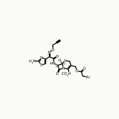 C#CCO/N=C(\C(=O)N[C@@H]1C(=O)N2C(C(=O)O)=C(COC(=O)CC(C)=O)CS[C@@H]12)c1csc(N)n1